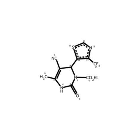 CCOC(=O)N1C(=O)NC(C)=C(C#N)C1c1scnc1C(F)(F)F